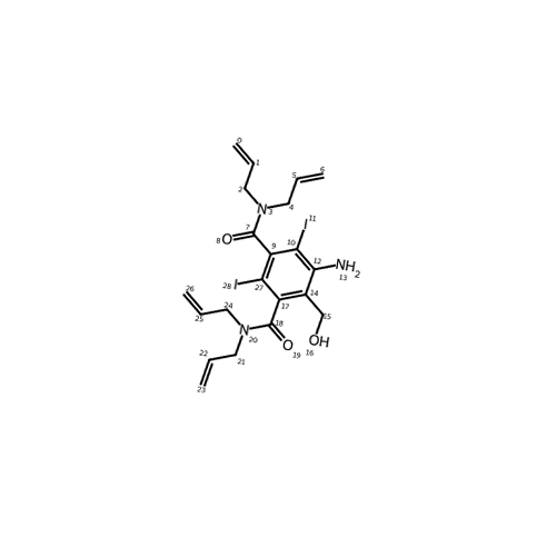 C=CCN(CC=C)C(=O)c1c(I)c(N)c(CO)c(C(=O)N(CC=C)CC=C)c1I